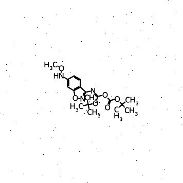 CONc1ccc2c(/N=C(/OC(=O)OC(C)(C)C)OC(C)(C)C)noc2c1